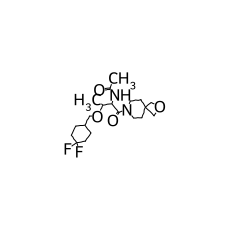 CC(=O)NC(C(=O)N1CCC2(CC1)COC2)C(C)OCC1CCC(F)(F)CC1